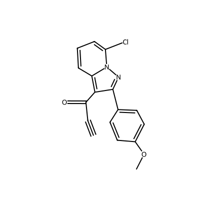 C#CC(=O)c1c(-c2ccc(OC)cc2)nn2c(Cl)cccc12